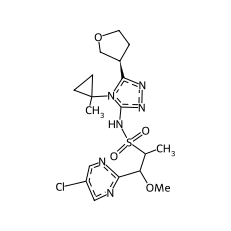 COC(c1ncc(Cl)cn1)C(C)S(=O)(=O)Nc1nnc([C@@H]2CCOC2)n1C1(C)CC1